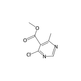 COC(=O)c1c(C)ncnc1Cl